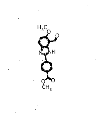 COC(=O)c1ccc(-c2nc3ccc(OC)c(C=O)c3[nH]2)cc1